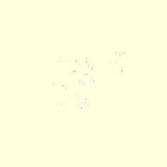 CCCCCn1c(=O)c2c(nc(Cc3nnco3)n2CCN(CC)CCO)n(CCc2cccc(N)c2)c1=O